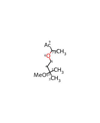 COC(C)(C)CCOC(C)C(C)=O